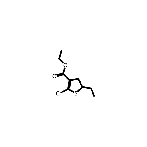 CCOC(=O)C1=C(Cl)SC(CC)C1